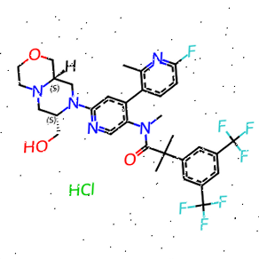 Cc1nc(F)ccc1-c1cc(N2C[C@H]3COCCN3C[C@H]2CO)ncc1N(C)C(=O)C(C)(C)c1cc(C(F)(F)F)cc(C(F)(F)F)c1.Cl